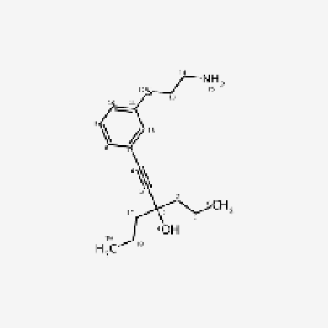 CCCC(O)(C#Cc1cccc(SCCN)c1)CCC